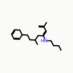 C=C(C)/C=C(\CC(C)CCC1C=CC=CC1)NCCCC